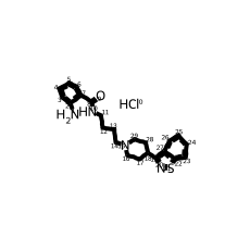 Cl.Nc1ccccc1C(=O)NCCCCN1CCC(c2nsc3ccccc23)CC1